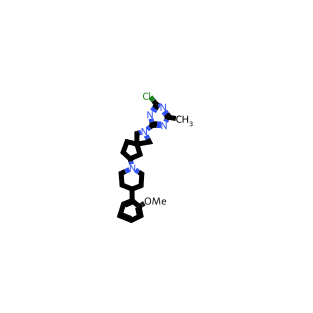 COc1ccccc1C1CCN(C2CCC3(C2)CN(c2nc(C)nc(Cl)n2)C3)CC1